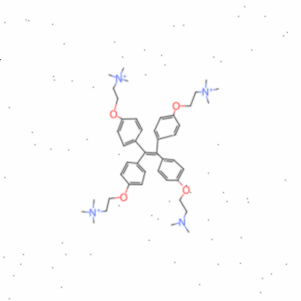 CN(C)CCOc1ccc(C(=C(c2ccc(OCC[N+](C)(C)C)cc2)c2ccc(OCC[N+](C)(C)C)cc2)c2ccc(OCC[N+](C)(C)C)cc2)cc1